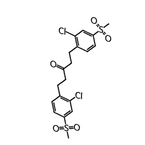 CS(=O)(=O)c1ccc(CCC(=O)CCc2ccc(S(C)(=O)=O)cc2Cl)c(Cl)c1